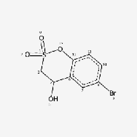 O=S1(=O)CC(O)c2cc(Br)ccc2O1